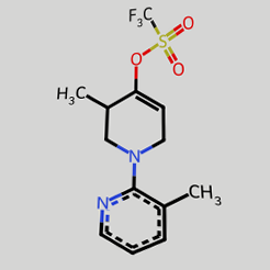 Cc1cccnc1N1CC=C(OS(=O)(=O)C(F)(F)F)C(C)C1